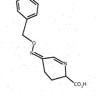 O=C(O)C1CCC(=NOCc2ccccc2)C=N1